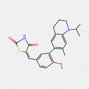 COc1ccc(C=C2SC(=O)NC2=O)cc1-c1cc2c(cc1C)N(C(C)C)CCC2